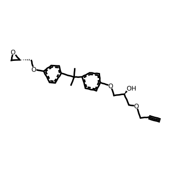 C#CCOC[C@H](O)COc1ccc(C(C)(C)c2ccc(OC[C@@H]3CO3)cc2)cc1